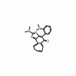 CN(C)C1=NC2=C(c3ccccc3N(C)C)C(=O)C3=CC=CCC=C3C2=N1